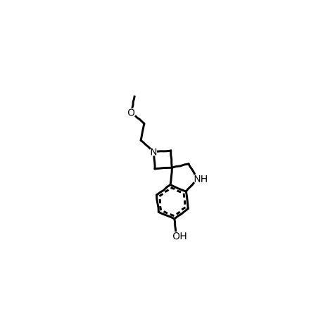 COCCN1CC2(CNc3cc(O)ccc32)C1